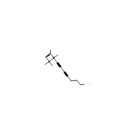 CC1(C)C=C(F)C1(C)C#CC#CCCCO